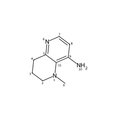 CN1CCCc2nccc(N)c21